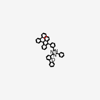 c1ccc(-c2nc(-c3cccc(-c4c5ccccc5c(-c5ccccc5-c5ccccc5)c5ccccc45)c3)nc(-c3cccc4c3oc3ccccc34)n2)cc1